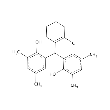 Cc1cc(C)c(O)c(C(C2=C(Cl)CCCC2)c2cc(C)cc(C)c2O)c1